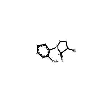 CCC1CCN(c2ccccc2OC)C1=O